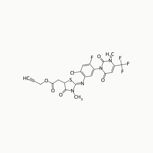 C#CCOC(=O)CC1SC(=Nc2cc(-n3c(=O)cc(C(F)(F)F)n(C)c3=O)c(F)cc2Cl)N(C)C1=O